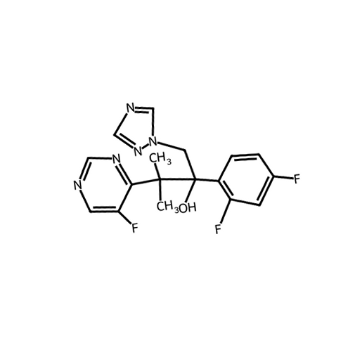 CC(C)(c1ncncc1F)C(O)(Cn1cncn1)c1ccc(F)cc1F